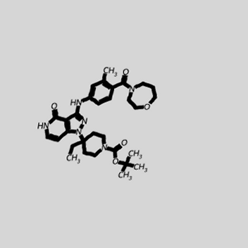 CCC1(n2nc(Nc3ccc(C(=O)N4CCCOCC4)c(C)c3)c3c(=O)[nH]ccc32)CCN(C(=O)OC(C)(C)C)CC1